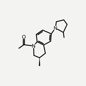 CC(=O)N1C[C@H](C)Cc2cc(N3CCCC3C)ccc21